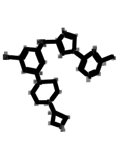 CCc1cc(Nc2ncn(-c3cncc(C)n3)n2)cc(N2CCN(C3COC3)CC2)c1